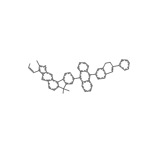 C/C=C\c1c(C)sc2cc3c4c(ccc3cc12)C(C)(C)c1cc(-c2c3ccccc3c(-c3ccc5c(c3)CCC(c3ccccc3)=C5)c3ccccc23)ccc1-4